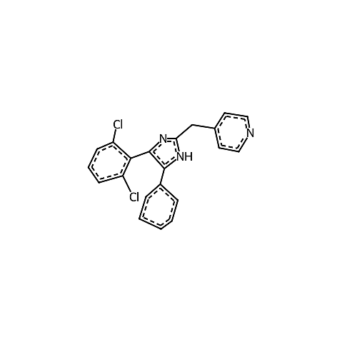 Clc1cccc(Cl)c1-c1nc(Cc2ccncc2)[nH]c1-c1ccccc1